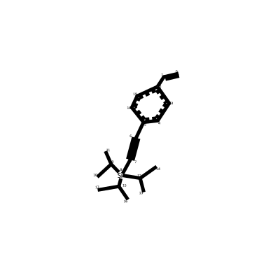 C=Cc1ccc(C#C[Si](C(C)C)(C(C)C)C(C)C)cc1